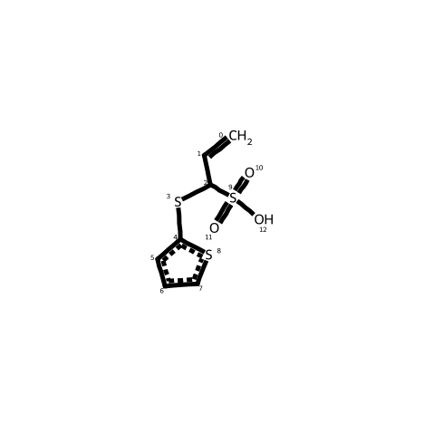 C=CC(Sc1cccs1)S(=O)(=O)O